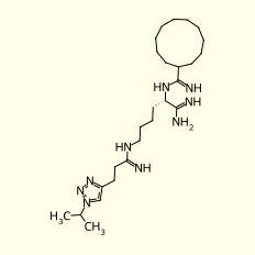 CC(C)n1cc(CCC(=N)NCCCC[C@H](NC(=N)C2CCCCCCCCCC2)C(=N)N)nn1